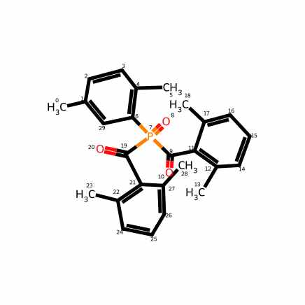 Cc1ccc(C)c(P(=O)(C(=O)c2c(C)cccc2C)C(=O)c2c(C)cccc2C)c1